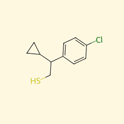 SCC(c1ccc(Cl)cc1)C1CC1